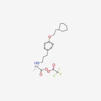 C[C@H](NCCCc1ccc(OCCC2CCCCC2)cc1)C(=O)OOC(=O)C(F)(F)F